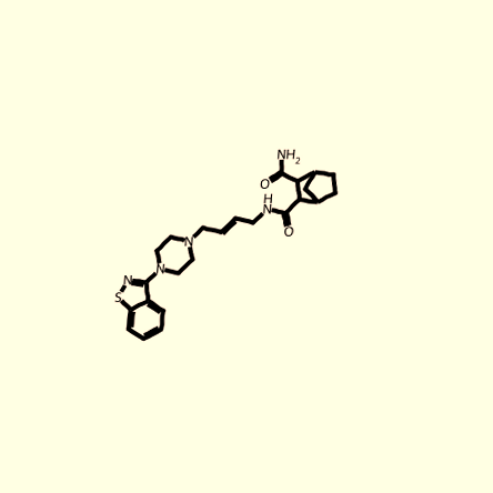 NC(=O)C1C2CCC(C2)C1C(=O)NC/C=C/CN1CCN(c2nsc3ccccc23)CC1